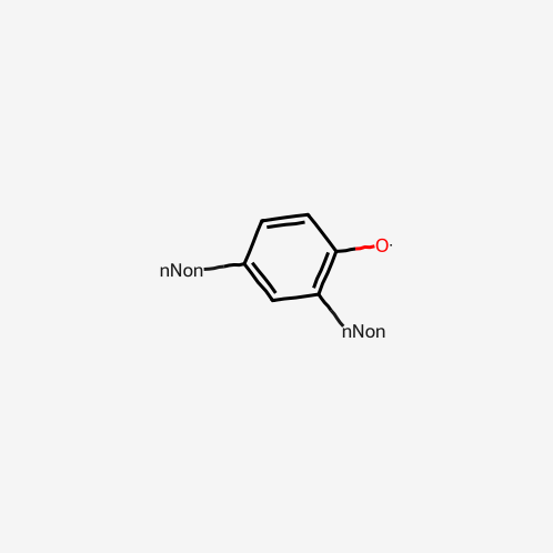 CCCCCCCCCc1ccc([O])c(CCCCCCCCC)c1